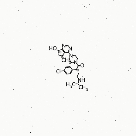 CC(C)NCC[C@@H](C(=O)N1CCN(c2ncnc3c2[C@H](C)C[C@H]3O)CC1)c1ccc(Cl)cc1